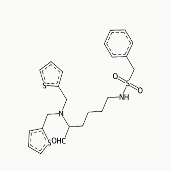 O=C[C](CCCCNS(=O)(=O)Cc1ccccc1)N(Cc1cccs1)Cc1cccs1